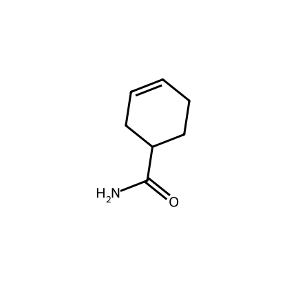 NC(=O)C1CC=CCC1